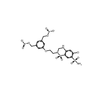 NS(=O)(=O)c1cc2c(cc1Cl)NCN(CCOc1cc(CO[N+](=O)[O-])cc(CO[N+](=O)[O-])c1)S2(=O)=O